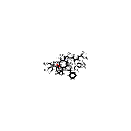 CC[Si](CC)(CC)OC(C(=O)O[C@@H](C)/C(C)=C1/[C@H](O)[C@H](O)[C@]2(C)[C@@H](O[Si](CC)(CC)CC)C[C@H]3OC[C@@]3(OC(C)=O)[C@H]2[C@H](OC(=O)c2ccccc2)[C@@](C)(O)C1(C)C)[C@@H](C)CC(C)C